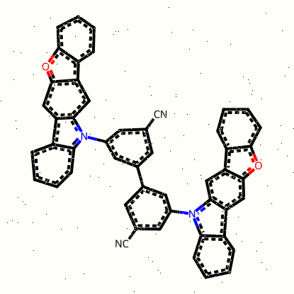 N#Cc1cc(-c2cc(C#N)cc(-n3c4ccccc4c4cc5oc6ccccc6c5cc43)c2)cc(-n2c3ccccc3c3cc4oc5ccccc5c4cc32)c1